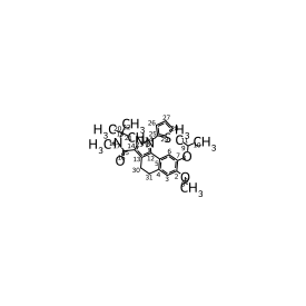 COc1cc2c(cc1OC(C)C)-c1c(c(C(=O)N(C)C(C)(C)C)nn1-c1cccs1)CC2